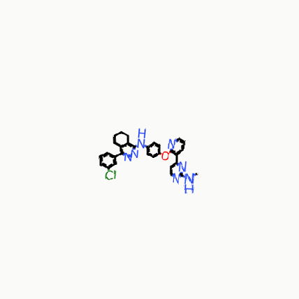 CNc1nccc(-c2cccnc2Oc2ccc(Nc3nnc(-c4cccc(Cl)c4)c4c3CCCC4)cc2)n1